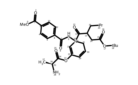 COC(=O)c1ccc(C(=O)N[N+]2(C(=O)C(CC(=O)OC(C)(C)C)CC(C)C)C=C(OC(=O)[C@H](C)N)C=CC2)cc1